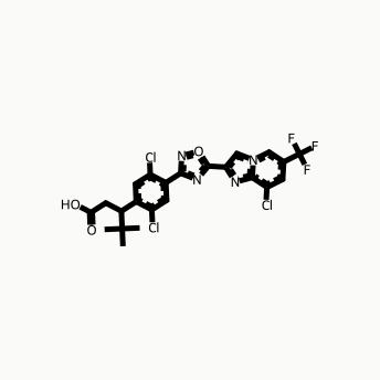 CC(C)(C)C(CC(=O)O)c1cc(Cl)c(-c2noc(-c3cn4cc(C(F)(F)F)cc(Cl)c4n3)n2)cc1Cl